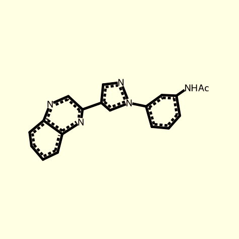 CC(=O)Nc1cccc(-n2cc(-c3cnc4ccccc4n3)cn2)c1